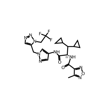 Cc1nonc1C(=O)N[C@H](C(=O)Nc1cnn(Cc2cnnn2CC(F)(F)F)c1)C(C1CC1)C1CC1